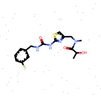 CC(O)C(=O)N(C)Cc1csc(NC(=O)NCc2cccc(F)c2)n1